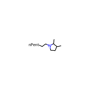 CCCCCCCN1CCC(C)C1C